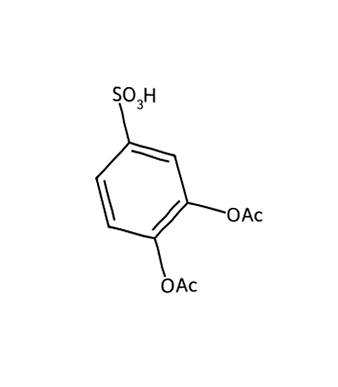 CC(=O)Oc1ccc(S(=O)(=O)O)cc1OC(C)=O